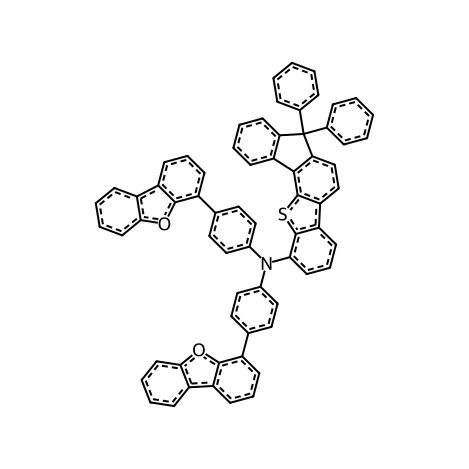 c1ccc(C2(c3ccccc3)c3ccccc3-c3c2ccc2c3sc3c(N(c4ccc(-c5cccc6c5oc5ccccc56)cc4)c4ccc(-c5cccc6c5oc5ccccc56)cc4)cccc32)cc1